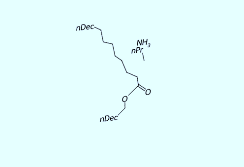 CCCC.CCCCCCCCCCCCCCCCCC(=O)OCCCCCCCCCCC.N